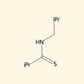 CC(C)CNC(=S)C(C)C